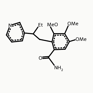 CCC(Cc1c(C(N)=O)cc(OC)c(OC)c1OC)c1cccnc1